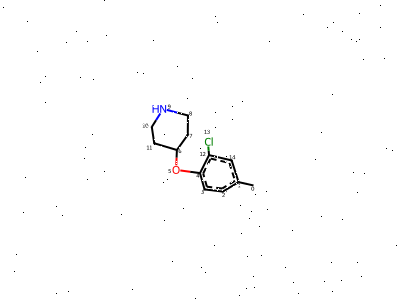 Cc1[c]cc(OC2CCNCC2)c(Cl)c1